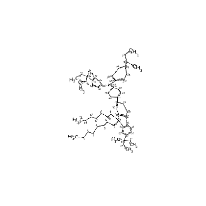 CCCCCCCCC1(CCCCCCC)C2=C(CCC(C3=CCC(N(C4=CCC(C(C)CC)CC4)c4ccc(C(C)(CC)CC)cc4)CC3)=C2)c2ccc(C(C)(CC)CC)cc21